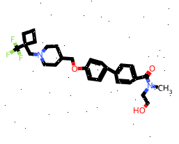 CN(CCO)C(=O)c1ccc(-c2ccc(OCC3CCN(CC4(C(F)(F)F)CCC4)CC3)cc2)cc1